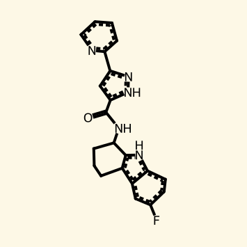 O=C(NC1CCCc2c1[nH]c1ccc(F)cc21)c1cc(-c2ccccn2)n[nH]1